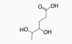 CC(O)C(O)CCC(=O)O